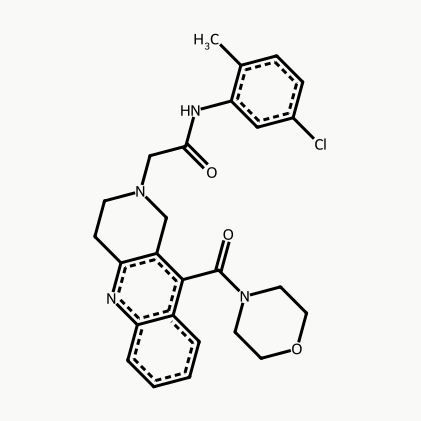 Cc1ccc(Cl)cc1NC(=O)CN1CCc2nc3ccccc3c(C(=O)N3CCOCC3)c2C1